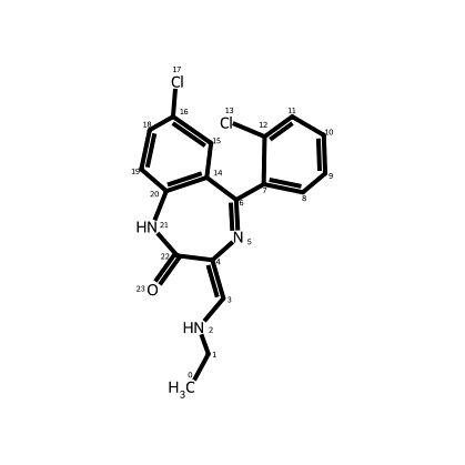 CCNC=C1N=C(c2ccccc2Cl)c2cc(Cl)ccc2NC1=O